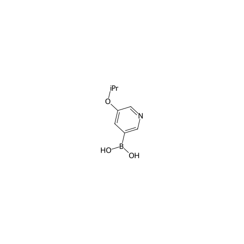 CC(C)Oc1cncc(B(O)O)c1